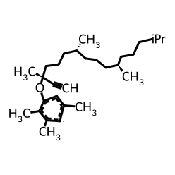 C#C[C@@](C)(CCC[C@H](C)CCC[C@H](C)CCCC(C)C)Oc1cc(C)[c]c(C)c1C